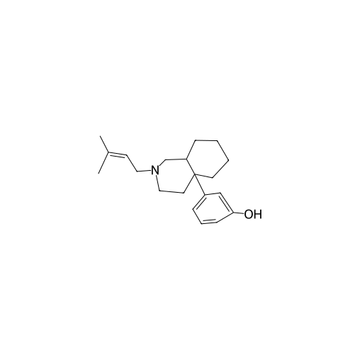 CC(C)=CCN1CCC2(c3cccc(O)c3)CCCCC2C1